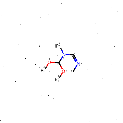 CCOC(OCC)N(/C=N\C)C(C)C